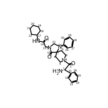 N[C@H](C(=O)N1CCC2(CC1)C(=O)N(CC(=O)NC1CCCCC1)CN2c1ccccc1)c1ccccc1